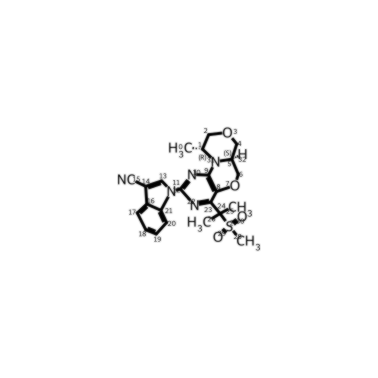 C[C@@H]1COC[C@H]2COc3c(nc(-n4cc(C#N)c5ccccc54)nc3C(C)(C)S(C)(=O)=O)N21